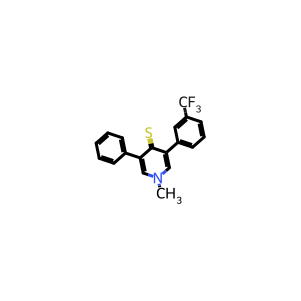 Cn1cc(-c2ccccc2)c(=S)c(-c2cccc(C(F)(F)F)c2)c1